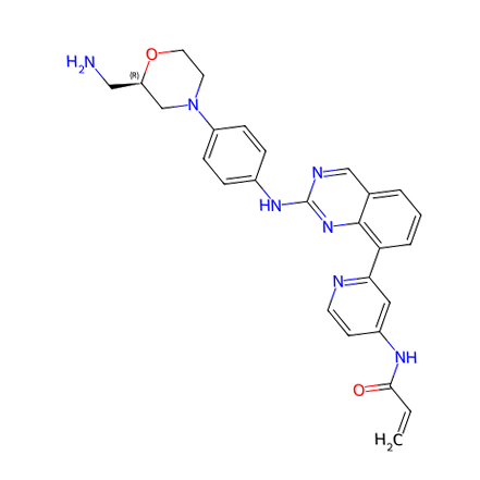 C=CC(=O)Nc1ccnc(-c2cccc3cnc(Nc4ccc(N5CCO[C@H](CN)C5)cc4)nc23)c1